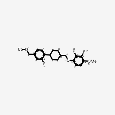 CCOCc1ccc(C2CCC(COc3ccc(OC)c(F)c3F)CC2)c(F)c1